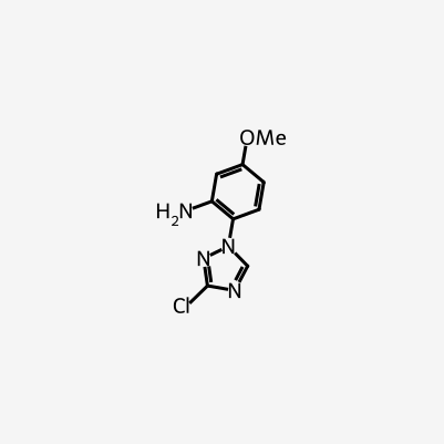 COc1ccc(-n2cnc(Cl)n2)c(N)c1